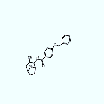 CN1C2CCC1C(NC(=O)c1ccc(OCc3ccccc3)cc1)C(O)C2